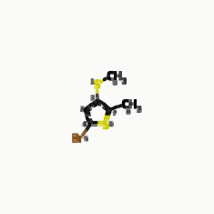 CSc1cc(Br)sc1C